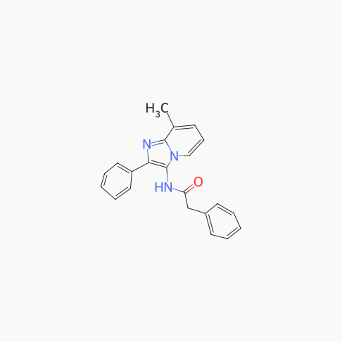 Cc1cccn2c(NC(=O)Cc3ccccc3)c(-c3ccccc3)nc12